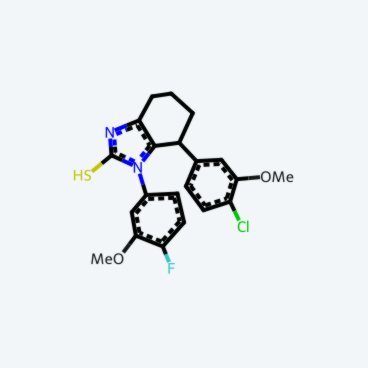 COc1cc(-n2c(S)nc3c2C(c2ccc(Cl)c(OC)c2)CCC3)ccc1F